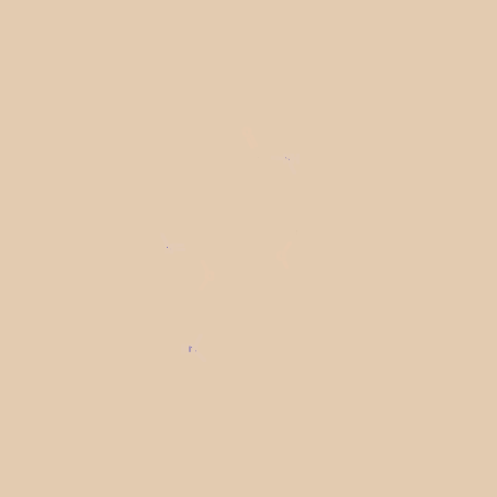 C=C(OCC)c1c[nH]c(=O)c2cc3ccnc(OC[C@@H]4CCCN4)c3cc12